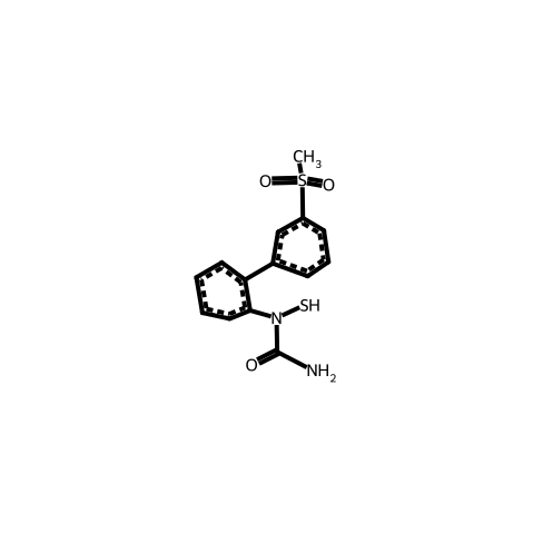 CS(=O)(=O)c1cccc(-c2ccccc2N(S)C(N)=O)c1